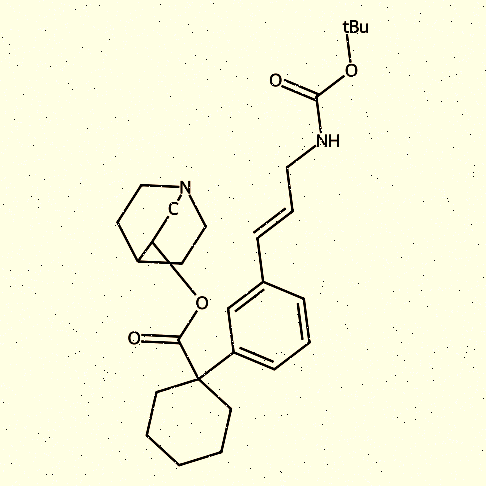 CC(C)(C)OC(=O)NC/C=C/c1cccc(C2(C(=O)OC3CN4CCC3CC4)CCCCC2)c1